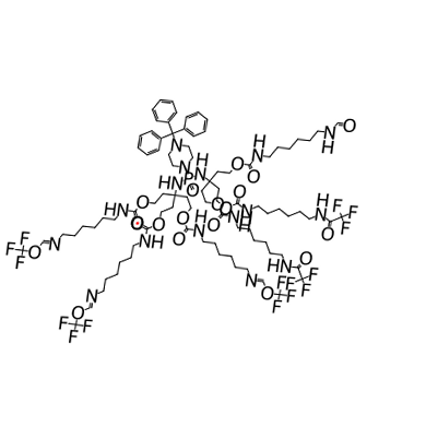 O=CNCCCCCCNC(=O)OCCC(CCOC(=O)NCCCCCCNC(=O)C(F)(F)F)(CCOC(=O)NCCCCCCNC(=O)C(F)(F)F)NP(=O)(NC(CCOC(=O)NCCCCCCN=COC(F)(F)F)(CCOC(=O)NCCCCCCN=COC(F)(F)F)CCOC(=O)NCCCCCCN=COC(F)(F)F)N1CCN(C(c2ccccc2)(c2ccccc2)c2ccccc2)CC1